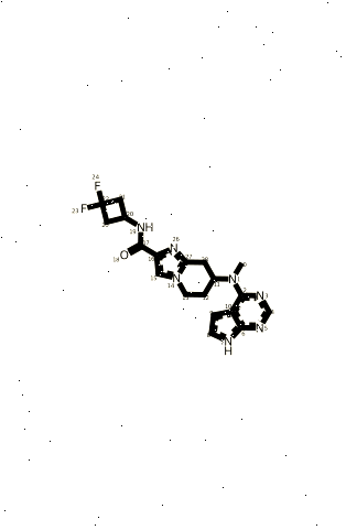 CN(c1ncnc2[nH]ccc12)C1CCn2cc(C(=O)NC3CC(F)(F)C3)nc2C1